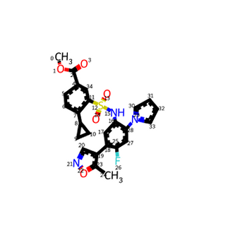 COC(=O)c1ccc(C2CC2)c(S(=O)(=O)Nc2cc(-c3cnoc3C)c(F)cc2-n2cccc2)c1